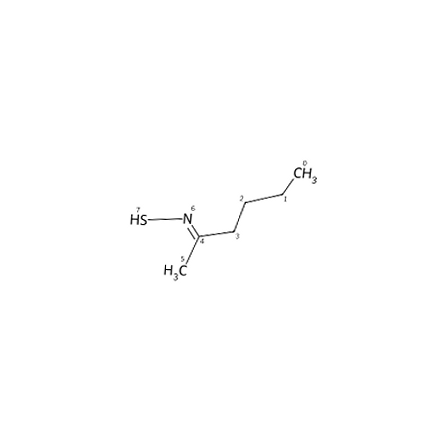 CCCCC(C)=NS